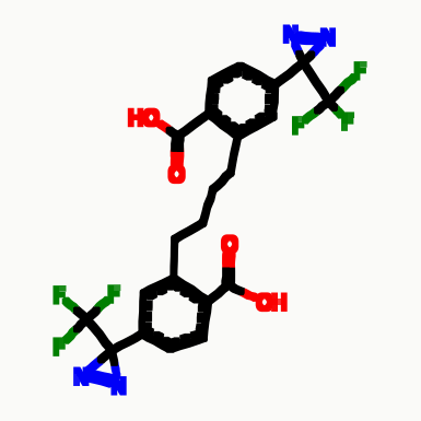 O=C(O)c1ccc(C2(C(F)(F)F)N=N2)cc1CCCCc1cc(C2(C(F)(F)F)N=N2)ccc1C(=O)O